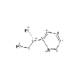 CC[C@@H](CC(C)C)c1ccccn1